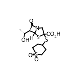 C[C@@H](O)[C@H]1C(=O)N2CC(SC3CCS(=O)(=O)CC3)(C(=O)O)S[C@H]12